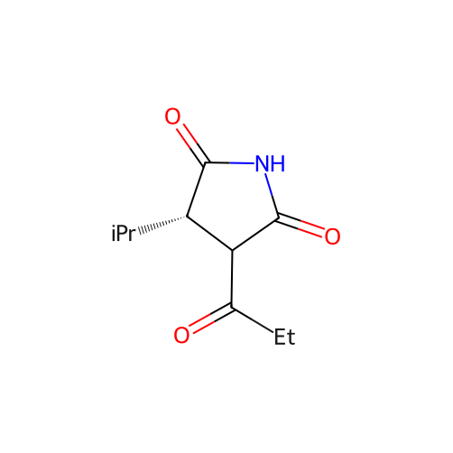 CCC(=O)C1C(=O)NC(=O)[C@H]1C(C)C